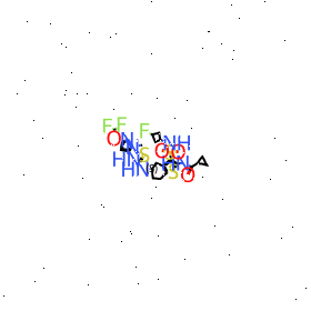 Cn1nc(OC(F)F)cc1NC(=S)N[C@H]1CCc2sc(NC(=O)C3CC3)c(S(=O)(=O)NC3CC(F)C3)c2C1